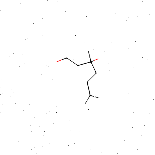 CCC(CC)CCC(O)(CC)CCO